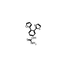 NC(O)=S.c1coc(-c2ccccc2-c2nccs2)c1